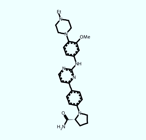 CCN1CCN(c2ccc(Nc3nccc(-c4ccc(N5CCC[C@@H]5C(N)=O)cc4)n3)cc2OC)CC1